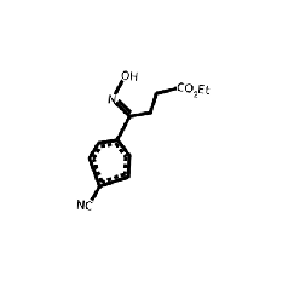 CCOC(=O)CCC(=NO)c1ccc(C#N)cc1